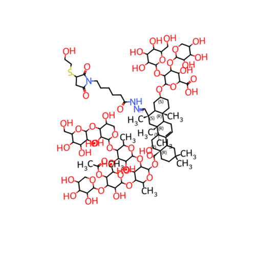 CC(=O)OC1C(C)OC(OC2C(C)OC(OC(=O)[C@]34CCC(C)(C)CC3C3=CCC5[C@@]6(C)CC[C@H](OC7OC(C(=O)O)C(O)C(OC8OCC(O)C(O)C8O)C7OC7OC(CO)C(O)C(O)C7O)CC6[C@@](C)(/C=N/NC(=O)CCCCCN6C(=O)CC(SCCO)C6=O)C[C@@]5(C)[C@]3(C)C[C@H]4O)C(OC3OC(C)C(OC4OCC(O)C(OC5OC(CO)C(O)C(O)C5O)C4O)C(O)C3O)C2O)C(O)C1OC1OCC(O)C(O)C1O